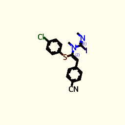 C/N=C(/I)N(C)/C(=C/c1ccc(C#N)cc1)Sc1ccc(Cl)cc1